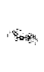 C[C@H](O)CN(C)C(=O)c1ccc(B2OC(C)(C)C(C)(C)O2)cc1